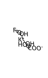 O=C([O-])COC[C@H](O)[C@@H](O)/C=C/C=C/C#C/C=C/[C@@H](O)COc1ccc(F)cc1.[K+]